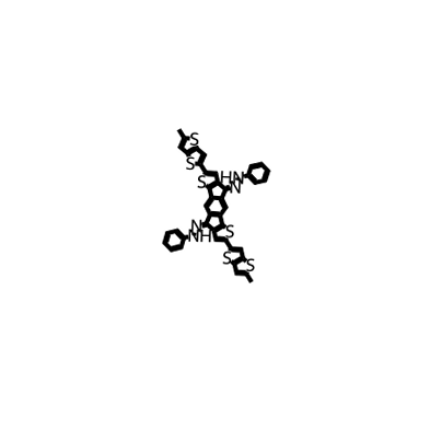 Cc1cc2sc(-c3cc4/c(=N\Nc5ccccc5)c5cc6c(cc5c4s3)/c(=N/Nc3ccccc3)c3cc(-c4cc5sc(C)cc5s4)sc36)cc2s1